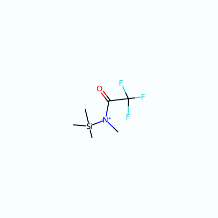 C[N+](C(=O)C(F)(F)F)[Si](C)(C)C